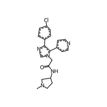 CN1CCC(NC(=O)Cn2cnc(-c3ccc(Cl)cc3)c2-c2ccncc2)C1